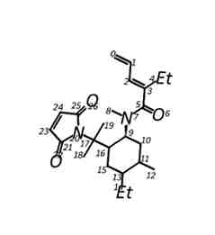 C=C/C=C(\CC)C(=O)N(C)[C@H]1CC(C)C(CC)CC1C(C)(C)N1C(=O)C=CC1=O